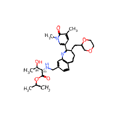 Cc1cc(C2=Nc3cc(CN[C@H](C(=O)OC(C)C)[C@@H](C)O)ccc3CCC2CC2COCCO2)cn(C)c1=O